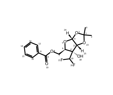 CC1(C)O[C@H]2O[C@H](COC(=O)c3ccccc3)[C@](O)(C(F)F)[C@H]2O1